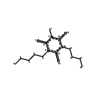 CCCCCn1c(=O)n(C)c(=O)n(CCCC)c1=O